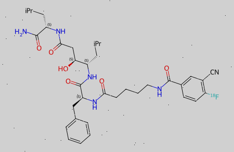 CC(C)C[C@H](NC(=O)C[C@H](O)[C@H](CC(C)C)NC(=O)[C@H](Cc1ccccc1)NC(=O)CCCCNC(=O)c1ccc([18F])c(C#N)c1)C(N)=O